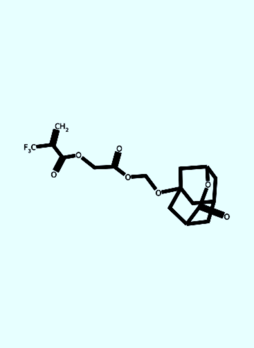 C=C(C(=O)OCC(=O)OCOC12CC3CC(C1)OC(=O)C(C3)C2)C(F)(F)F